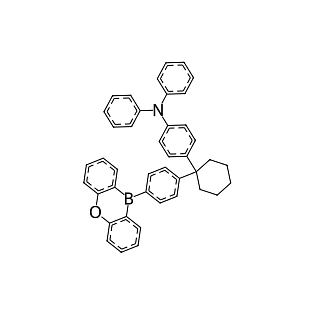 c1ccc(N(c2ccccc2)c2ccc(C3(c4ccc(B5c6ccccc6Oc6ccccc65)cc4)CCCCC3)cc2)cc1